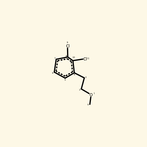 COCCc1cccc(Cl)c1Cl